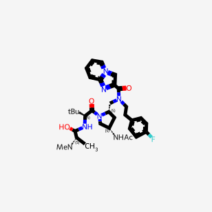 CN[C@@H](C)C(O)N[C@H](C(=O)N1C[C@@H](NC(C)=O)C[C@H]1CN(CCc1ccc(F)cc1)C(=O)c1cn2ccccc2n1)C(C)(C)C